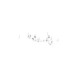 Cc1cn(-c2ccc3n(c2=O)CCN(CCOc2cc(C(F)(F)F)nc4c(C)cc(Cl)cc24)C3=O)cn1